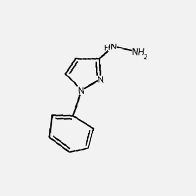 NNc1ccn(-c2ccccc2)n1